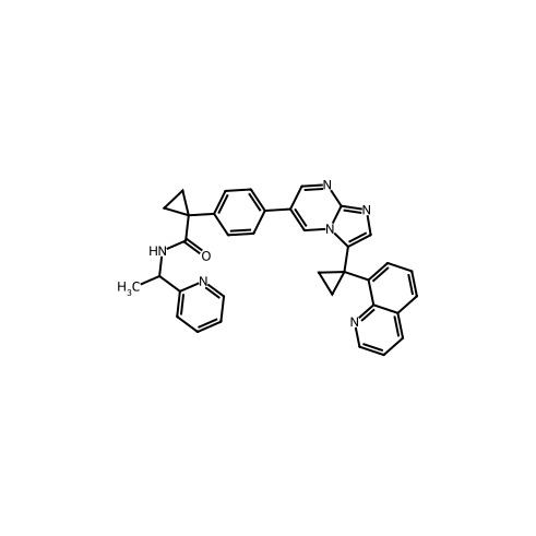 CC(NC(=O)C1(c2ccc(-c3cnc4ncc(C5(c6cccc7cccnc67)CC5)n4c3)cc2)CC1)c1ccccn1